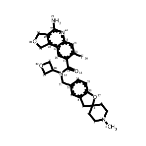 CN1CCC2(CC1)Cc1cc(CN(C(=O)c3cc4c5c(c(N)nc4cc3F)COC5)C3COC3)ccc1O2